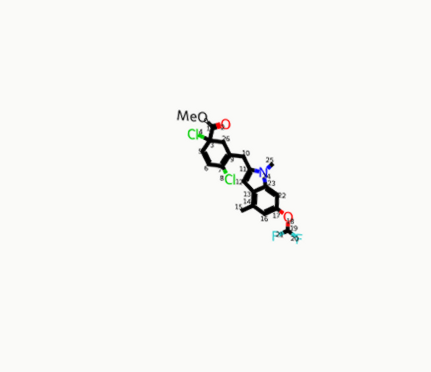 COC(=O)C1(Cl)C=CC(Cl)=C(Cc2cc3c(C)cc(OC(F)F)cc3n2C)C1